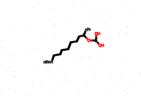 CCCCCCCCCCCCCCCCC(CCC)OB(O)O